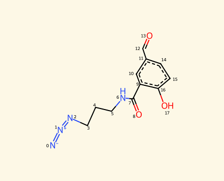 [N-]=[N+]=NCCCNC(=O)c1cc(C=O)ccc1O